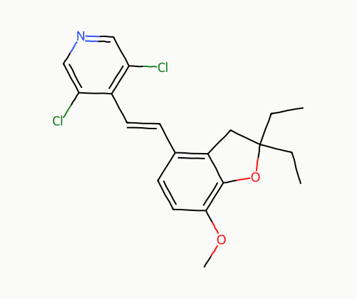 CCC1(CC)Cc2c(/C=C/c3c(Cl)cncc3Cl)ccc(OC)c2O1